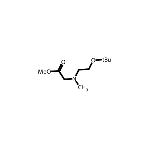 COC(=O)CN(C)CCOC(C)(C)C